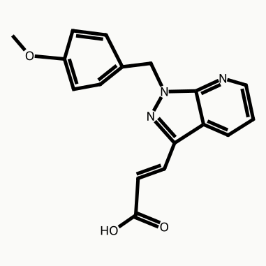 COc1ccc(Cn2nc(/C=C/C(=O)O)c3cccnc32)cc1